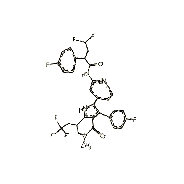 CN1CC(CC(F)(F)F)c2[nH]c(-c3ccnc(NC(=O)C(CC(F)F)c4ccc(F)cc4)c3)c(-c3ccc(F)cc3)c2C1=O